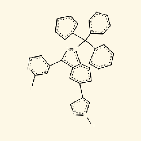 Cn1cc(-c2ccc3c(c2)c(-c2ccnc(F)c2)nn3C(c2ccccc2)(c2ccccc2)c2ccccc2)cn1